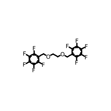 Fc1c(F)c(F)c(COCCOCc2c(F)c(F)c(F)c(F)c2F)c(F)c1F